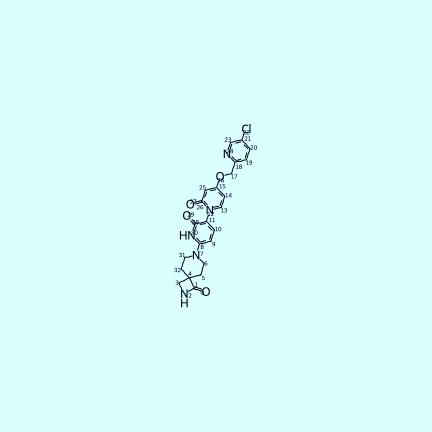 O=C1NCC12CCN(c1ccc(-n3ccc(OCc4ccc(Cl)cn4)cc3=O)c(=O)[nH]1)CC2